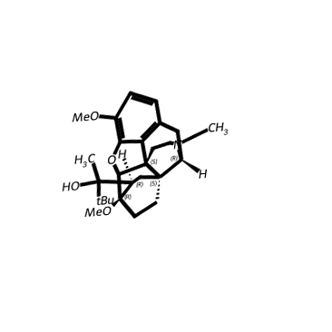 COc1ccc2c3c1OC1[C@@]4(OC)CC[C@@]5(C[C@@H]4C(C)(O)C(C)(C)C)[C@@H](C2)N(C)CC[C@]315